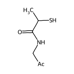 CC(=O)CNC(=O)C(C)S